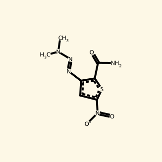 CN(C)N=Nc1cc([N+](=O)[O-])sc1C(N)=O